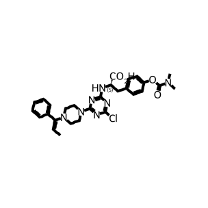 CC=C(c1ccccc1)N1CCN(c2nc(Cl)nc(N[C@@H](Cc3ccc(OC(=O)N(C)C)cc3)C(=O)O)n2)CC1